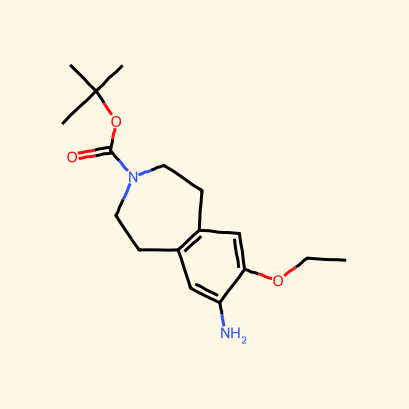 CCOc1cc2c(cc1N)CCN(C(=O)OC(C)(C)C)CC2